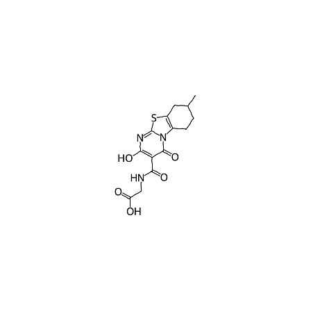 CC1CCc2c(sc3nc(O)c(C(=O)NCC(=O)O)c(=O)n23)C1